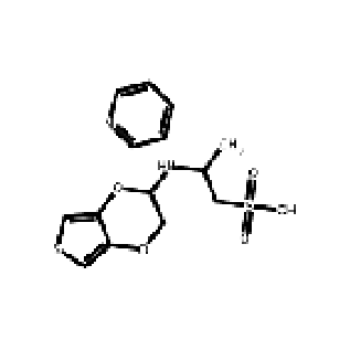 CC(CS(=O)(=O)O)NC1COc2cscc2O1.c1ccncc1